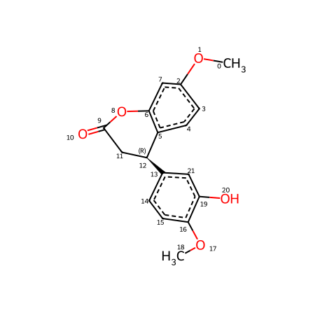 COc1ccc2c(c1)OC(=O)C[C@@H]2c1ccc(OC)c(O)c1